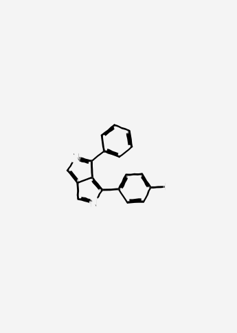 Fc1ccc(C2=C3C(=CN=C3c3ccccc3)C=N2)cc1